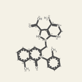 Cc1ccccc1-n1c(CN2NC(C(=O)O)C3=C2NCN=C3N)cc2cccc(C)c2c1=O